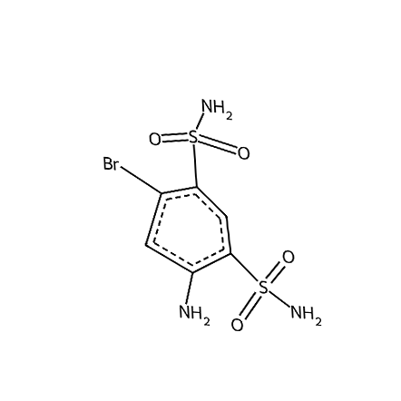 Nc1cc(Br)c(S(N)(=O)=O)cc1S(N)(=O)=O